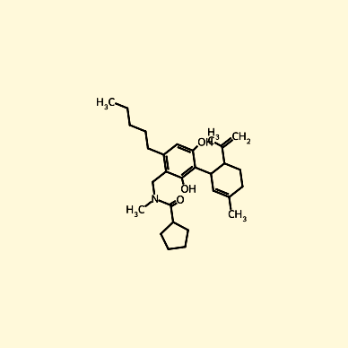 C=C(C)C1CCC(C)=CC1c1c(O)cc(CCCCC)c(CN(C)C(=O)C2CCCC2)c1O